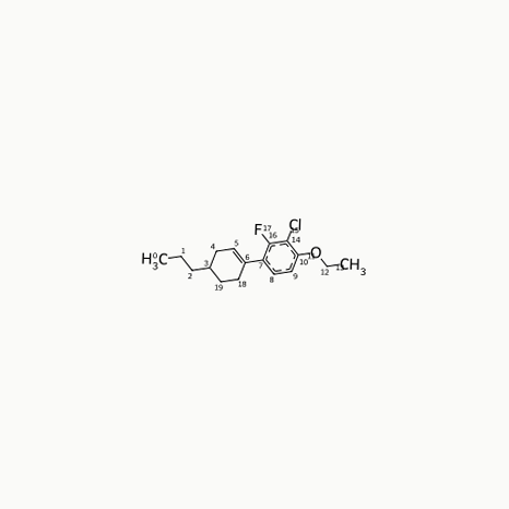 CCCC1CC=C(c2ccc(OCC)c(Cl)c2F)CC1